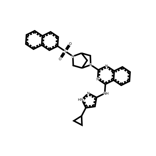 O=S(=O)(c1ccc2ccccc2c1)N1CC2CC1CN2c1nc(Nc2cc(C3CC3)[nH]n2)c2ccccc2n1